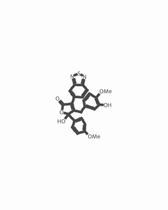 COc1ccc(C2(O)OC(=O)C(c3ccc4nsnc4c3)=C2Cc2ccc(OC)c(O)c2)cc1